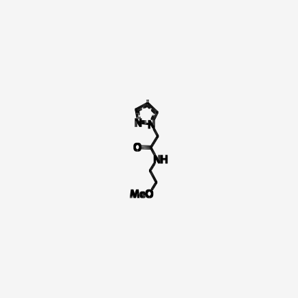 COCCNC(=O)Cn1c[c]cn1